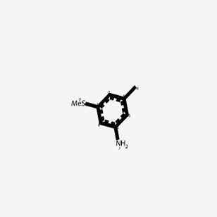 CSc1cc(C)cc(N)c1